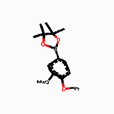 COc1cc(B2OC(C)(C)C(C)(C)O2)ccc1OC(C)C